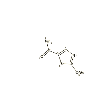 COc1ncc(C(N)=O)s1